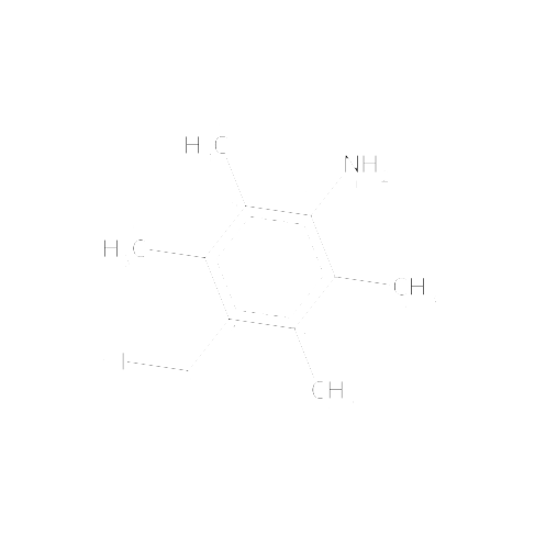 Cc1c(C)c(CI)c(C)c(C)c1N